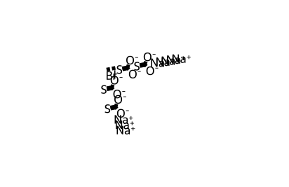 CBr.CI.[Na+].[Na+].[Na+].[Na+].[Na+].[Na+].[Na+].[Na+].[O-]C([O-])=S.[O-]C([O-])=S.[O-]C([O-])=S.[O-]C([O-])=S